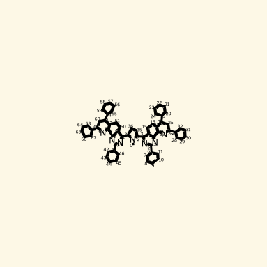 Cn1c(-c2nc(-c3ccccc3)nc3c2ccc2c(-c4ccccc4)cc(-c4ccccc4)nc23)ccc1-c1nc(-c2ccccc2)nc2c1ccc1c(-c3ccccc3)cc(-c3ccccc3)nc12